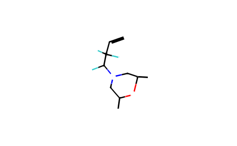 C=CC(F)(F)C(F)N1CC(C)OC(C)C1